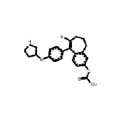 CC(C)(C)C(=O)Oc1ccc2c(c1)CCCC(Br)=C2c1ccc(OC2CCNC2)cc1